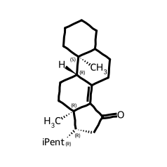 CCC[C@@H](C)[C@H]1CC(=O)C2=C3CCC4CCCC[C@]4(C)[C@H]3CC[C@@]21C